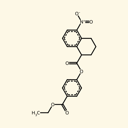 CCOC(=O)c1ccc(OC(=O)C2CCCc3c2cccc3[N+](=O)[O-])cc1